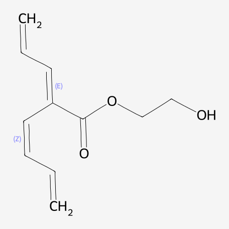 C=C/C=C\C(=C/C=C)C(=O)OCCO